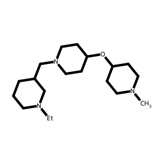 CCN1CCCC(CN2CCC(OC3CCN(C)CC3)CC2)C1